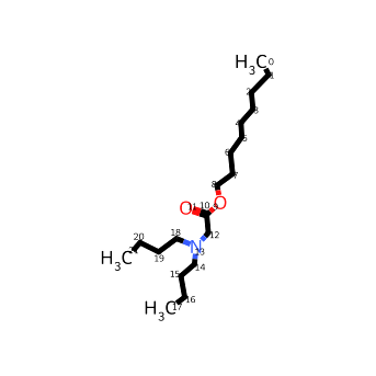 CCCCCCCCCOC(=O)CN(CCCC)CCCC